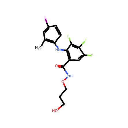 Cc1cc(I)ccc1Nc1c(C(=O)NOCCCO)cc(F)c(F)c1F